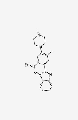 CCn1cc2c3ccccc3nc-2c2cc(F)c(N3CCN(C)CC3)cc21